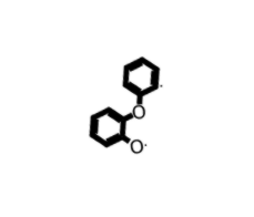 [O]c1ccccc1Oc1[c]cccc1